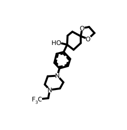 OC1(c2ccc(N3CCN(CC(F)(F)F)CC3)cc2)CCC2(CC1)OCCO2